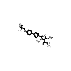 CNC(=O)C(C(=O)NN=O)N(C)C(=O)c1ccc(-c2ccc(OCC3(C)COC3)cc2)cc1